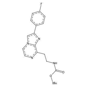 CC(C)(C)OC(=O)NCCc1nccn2cc(-c3ccc(F)cc3)nc12